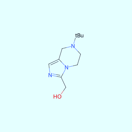 CC(C)(C)N1CCn2c(cnc2CO)C1